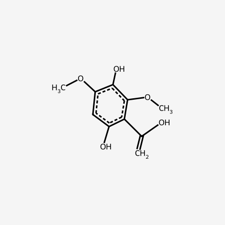 C=C(O)c1c(O)cc(OC)c(O)c1OC